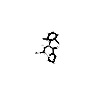 COC(=O)[C@H](C)N(C(=O)c1ccco1)c1c(C)cccc1C